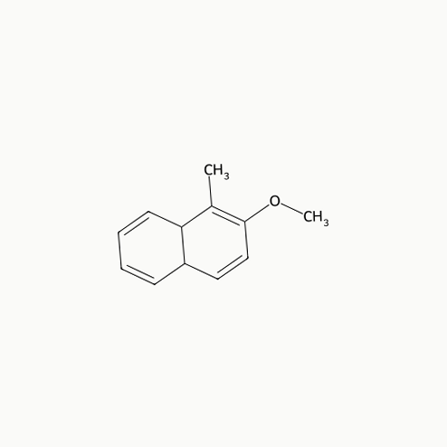 COC1=C(C)C2C=CC=CC2C=C1